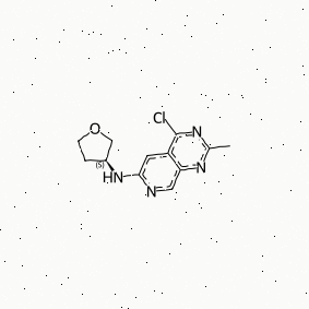 Cc1nc(Cl)c2cc(N[C@H]3CCOC3)ncc2n1